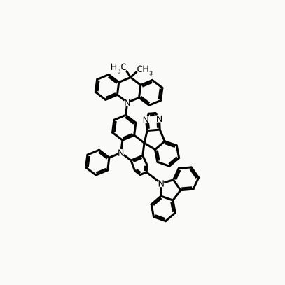 CC1(C)c2ccccc2N(c2ccc3c(c2)C2(c4ccccc4-c4nccnc42)c2cc(-n4c5ccccc5c5ccccc54)ccc2N3c2ccccc2)c2ccccc21